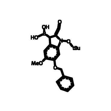 COc1cc2c(cc1OCc1ccccc1)N(OC(C)(C)C)C(=C=O)C2B(O)O